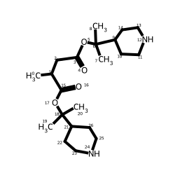 CC(CC(=O)OC(C)(C)C1CCNCC1)C(=O)OC(C)(C)C1CCNCC1